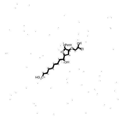 CCCCCC1OC(C(O)CCCCCCCC(=O)O)CC1OCC(O)CC